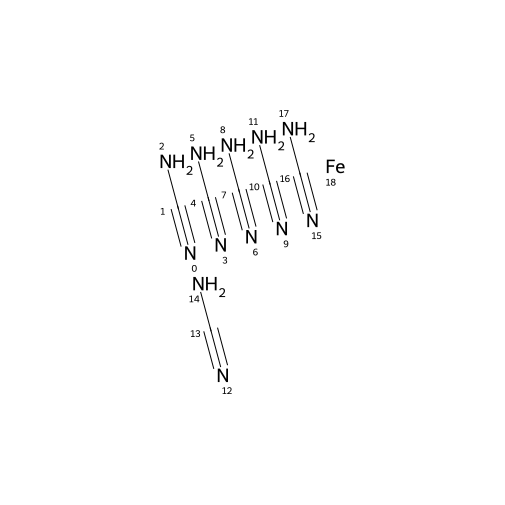 N#CN.N#CN.N#CN.N#CN.N#CN.N#CN.[Fe]